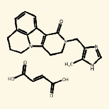 Cc1[nH]cnc1CN1CCc2c(c3cccc4c3n2CCC4)C1=O.O=C(O)C=CC(=O)O